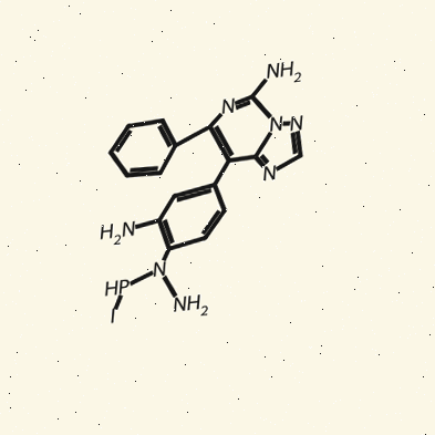 Nc1cc(-c2c(-c3ccccc3)nc(N)n3ncnc23)ccc1N(N)PI